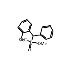 COP(=O)(OC)C(c1ccccc1)c1ccccc1O